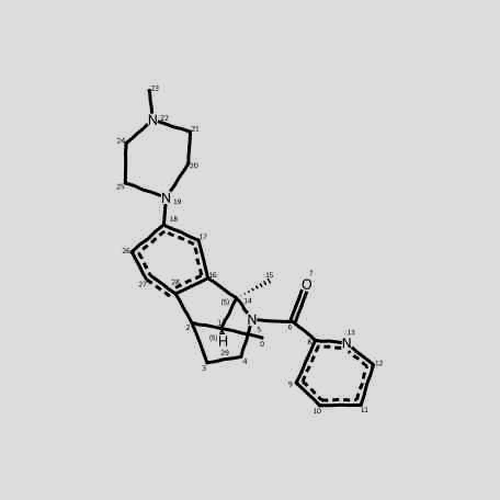 C[C@H]1C2CCN(C(=O)c3ccccn3)[C@]1(C)c1cc(N3CCN(C)CC3)ccc12